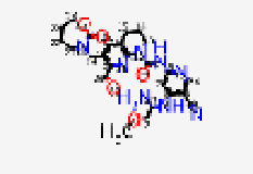 COC[C@H](N)Nc1cc(NC(=O)N2CCCc3cc(CN4CCCCOC4=O)c(C=O)nc32)ncc1C#N